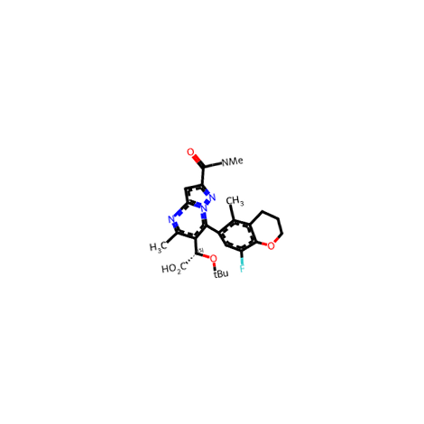 CNC(=O)c1cc2nc(C)c([C@H](OC(C)(C)C)C(=O)O)c(-c3cc(F)c4c(c3C)CCCO4)n2n1